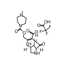 CN1CCN(C(=O)OCC2=C(C(=O)O)N3C(=O)[C@H]4NC[C@@H](C2)[C@H]43)CC1.O=C(O)C(F)(F)F